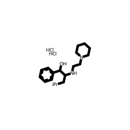 CC(C)CC(NCCN1CCCCC1)C(O)c1ccccc1.Cl.Cl